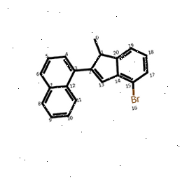 CC1C(c2cccc3ccccc23)=Cc2c(Br)cccc21